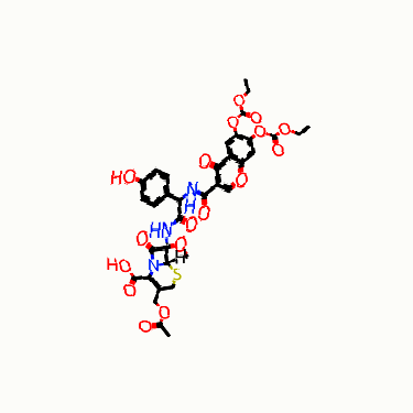 CCOC(=O)Oc1cc2occ(C(=O)NC(C(=O)N[C@]3(OC)C(=O)N4C(C(=O)O)=C(COC(C)=O)CS[C@H]43)c3ccc(O)cc3)c(=O)c2cc1OC(=O)OCC